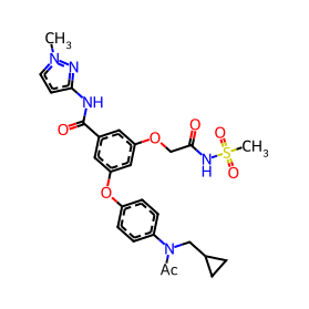 CC(=O)N(CC1CC1)c1ccc(Oc2cc(OCC(=O)NS(C)(=O)=O)cc(C(=O)Nc3ccn(C)n3)c2)cc1